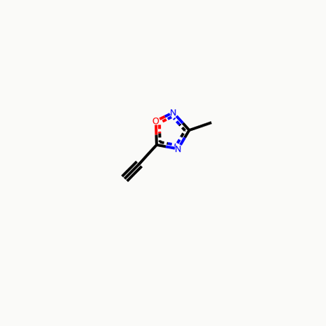 C#Cc1nc(C)no1